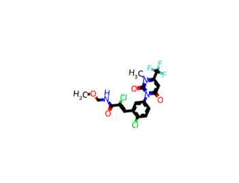 COCNC(=O)C(Cl)=Cc1cc(-n2c(=O)cc(C(F)(F)F)n(C)c2=O)ccc1Cl